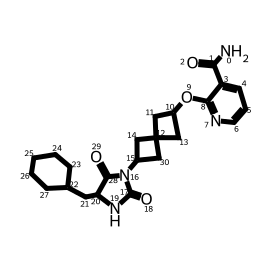 NC(=O)c1cccnc1OC1CC2(C1)CC(N1C(=O)NC(CC3CCCCC3)C1=O)C2